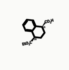 CCOC(=O)[C@@H]1CC[C@@H](C(=O)O)c2ccccc21